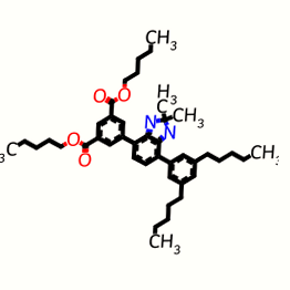 CCCCCOC(=O)c1cc(C(=O)OCCCCC)cc(-c2ccc(-c3cc(CCCCC)cc(CCCCC)c3)c3c2=NC(C)(C)N=3)c1